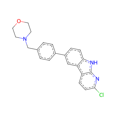 Clc1ccc2c(n1)[nH]c1ccc(-c3ccc(CN4CCOCC4)cc3)cc12